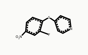 O=[N+]([O-])c1ccc(Sc2ccncc2)c(F)c1